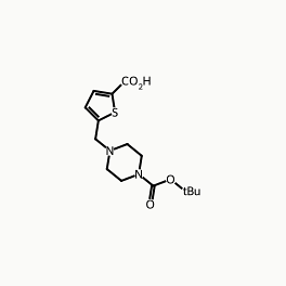 CC(C)(C)OC(=O)N1CCN(Cc2ccc(C(=O)O)s2)CC1